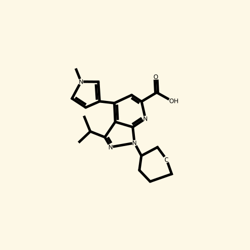 CC(C)c1nn(C2CCCCC2)c2nc(C(=O)O)cc(-c3ccn(C)c3)c12